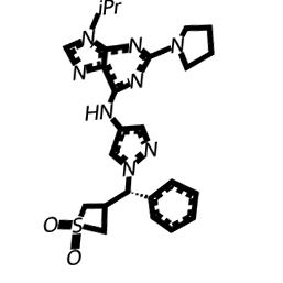 CC(C)n1cnc2c(Nc3cnn([C@H](c4ccccc4)C4CS(=O)(=O)C4)c3)nc(N3CCCC3)nc21